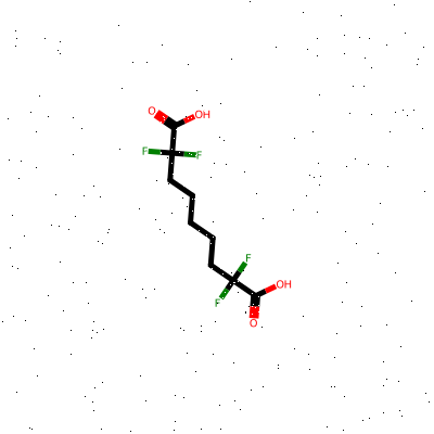 O=C(O)C(F)(F)CCCCCC(F)(F)C(=O)O